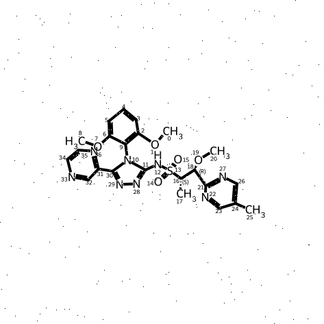 COc1cccc(OC)c1-n1c(NS(=O)(=O)[C@@H](C)[C@H](OC)c2ncc(C)cn2)nnc1-c1cnccn1